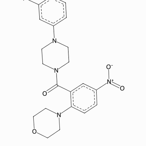 O=C(c1cc([N+](=O)[O-])ccc1N1CCOCC1)N1CCN(c2cccc(F)c2)CC1